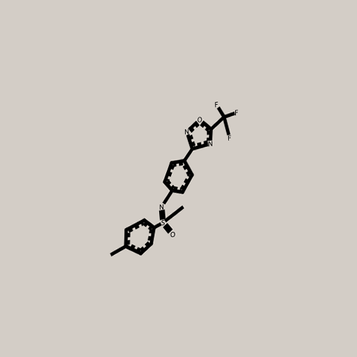 Cc1ccc(S(C)(=O)=Nc2ccc(-c3noc(C(F)(F)F)n3)cc2)cc1